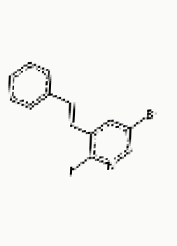 Brc1cnc(I)c(C=Cc2ccccc2)c1